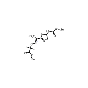 CC(C)(C)OC(=O)Nc1nc(/C(=N/OC(C)(C)C(=O)OC(C)(C)C)C(=O)O)ns1